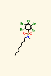 CCCCCCCCN(C)S(=O)(=O)c1c(Br)c(Br)c(Br)c(Br)c1Br